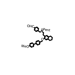 CCCCCN(CCc1cc2c(cc1OCc1ccc(-c3ccc(OC)cc3)cc1)CCCC2)Cc1ccc(C=O)cc1